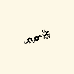 CC(=O)c1cccc(Oc2ccc(CCNc3ncnc4scc(Cl)c34)cc2)n1